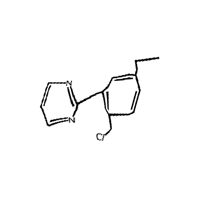 CCc1ccc(Cl)c(-c2ncccn2)c1